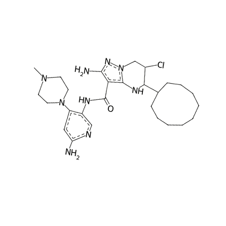 CN1CCN(c2cc(N)ncc2NC(=O)c2c(N)nn3c2NC(C2CCCCCCCCC2)C(Cl)C3)CC1